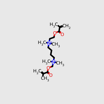 C=C(C)C(=O)OCC[N+](C)(C)CCCC[N+](C)(C)COC(=O)C(=C)C